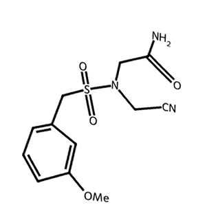 COc1cccc(CS(=O)(=O)N(CC#N)CC(N)=O)c1